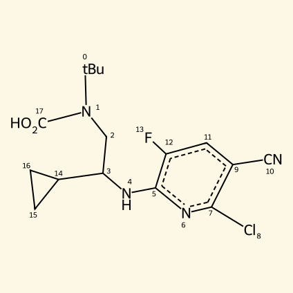 CC(C)(C)N(CC(Nc1nc(Cl)c(C#N)cc1F)C1CC1)C(=O)O